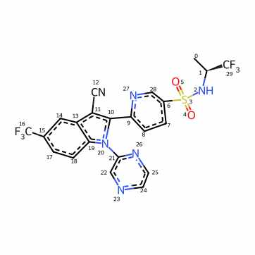 C[C@H](NS(=O)(=O)c1ccc(-c2c(C#N)c3cc(C(F)(F)F)ccc3n2-c2cnccn2)nc1)C(F)(F)F